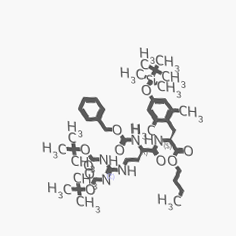 CCCCOC(=O)[C@H](Cc1c(C)cc(O[Si](C)(C)C(C)(C)C)cc1C)NC(=O)[C@@H](CCN/C(=N/C(=O)OC(C)(C)C)NC(=O)OC(C)(C)C)NC(=O)OCc1ccccc1